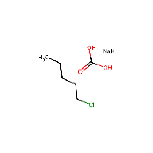 CCCCCCl.O=C(O)O.[NaH]